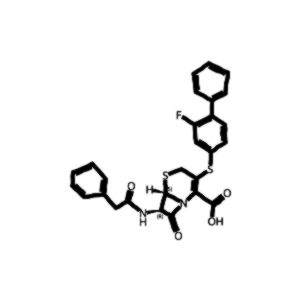 O=C(Cc1ccccc1)N[C@@H]1C(=O)N2C(C(=O)O)=C(Sc3ccc(-c4ccccc4)c(F)c3)CS[C@@H]12